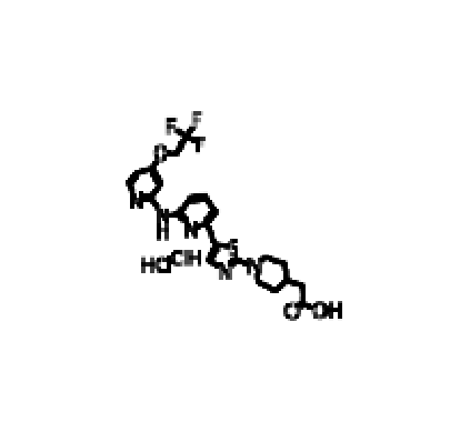 Cl.Cl.O=C(O)CC1CCN(c2ncc(-c3cccc(Nc4cc(OCC(F)(F)F)ccn4)n3)s2)CC1